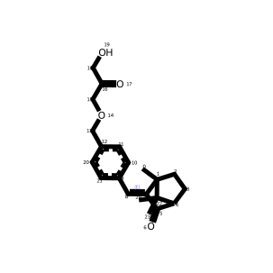 CC12CCC(C(=O)/C1=C/c1ccc(COCC(=O)CO)cc1)C2(C)C